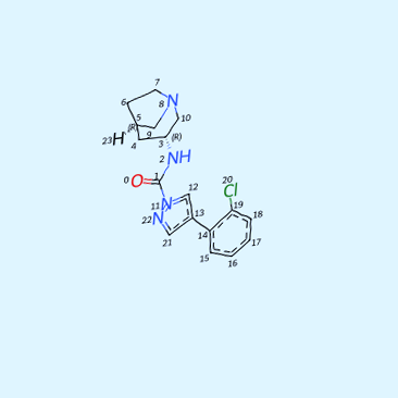 O=C(N[C@@H]1C[C@H]2CCN(C2)C1)n1cc(-c2ccccc2Cl)cn1